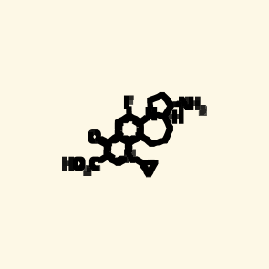 N[C@@H]1CCN2c3c(F)cc4c(=O)c(C(=O)O)cn(C5CC5)c4c3CCC[C@H]12